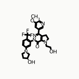 COc1cncc(-c2nn(-c3cc(N4CC[C@H](O)C4)ccc3C(F)(F)F)c(=O)c3c2CCN3CCO)c1